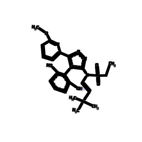 CCS(=O)(=O)N(/C=C/S(C)(C)C)c1nnc(C2=C=C=CC(OC)=N2)n1-c1c(O)cccc1O